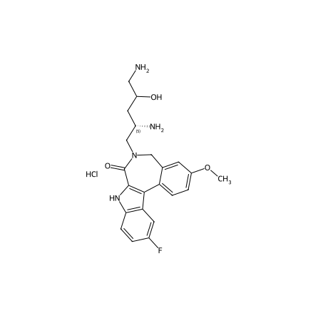 COc1ccc2c(c1)CN(C[C@@H](N)CC(O)CN)C(=O)c1[nH]c3ccc(F)cc3c1-2.Cl